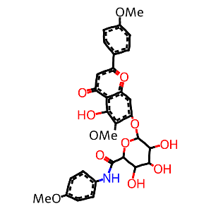 COc1ccc(NC(=O)C2OC(Oc3cc4oc(-c5ccc(OC)cc5)cc(=O)c4c(O)c3OC)C(O)C(O)C2O)cc1